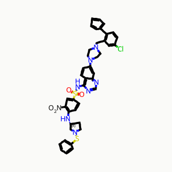 O=[N+]([O-])c1cc(S(=O)(=O)Nc2ncnc3cc(N4CCN(Cc5cc(Cl)ccc5-c5ccccc5)CC4)ccc23)ccc1N[C@@H]1CCN(Sc2ccccc2)C1